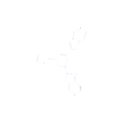 Fc1ccc2[nH]c(-c3cc(-c4cccs4)nc(-c4cc5cc(F)ccc5[nH]4)n3)cc2c1